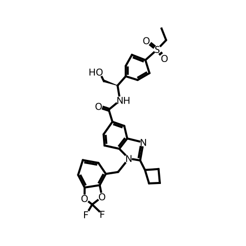 CCS(=O)(=O)c1ccc([C@H](CO)NC(=O)c2ccc3c(c2)nc(C2CCC2)n3Cc2cccc3c2OC(F)(F)O3)cc1